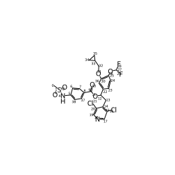 CS(=O)(=O)Nc1ccc(C(=O)OC(Cc2c(Cl)cncc2Cl)c2ccc(OC(F)F)c(OCC3CC3)c2)cc1